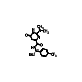 CN(C)c1nc(C(=O)N[C@H](c2ccc(C(F)(F)F)cc2)C(C)(C)C)cc(=O)[nH]1